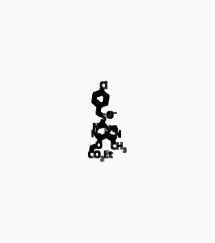 CCOC(=O)COc1nnc([S+]([O-])Cc2ccc(Cl)cc2)n2cnc(C)c12